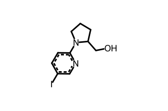 OCC1CCCN1c1ccc(I)cn1